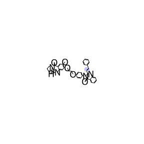 COc1cc2c(cc1OCCOc1ccc(-n3c(/C=C/c4ccccc4)nc4ccccc4c3=O)cc1)N=C[C@@H]1CCCN1C2=O